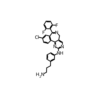 NCCCc1cccc(Nc2ncc3c(n2)-c2ccc(Cl)cc2C(c2c(F)cccc2F)=NC3)c1